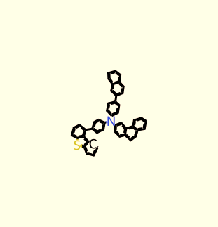 c1ccc2cc(-c3ccc(N(c4ccc(-c5cccc6sc7ccccc7c56)cc4)c4ccc5ccc6ccccc6c5c4)cc3)ccc2c1